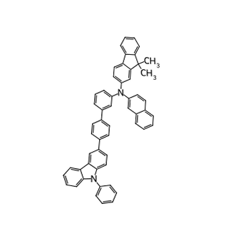 CC1(C)c2ccccc2-c2ccc(N(c3cccc(-c4ccc(-c5ccc6c(c5)c5ccccc5n6-c5ccccc5)cc4)c3)c3ccc4ccccc4c3)cc21